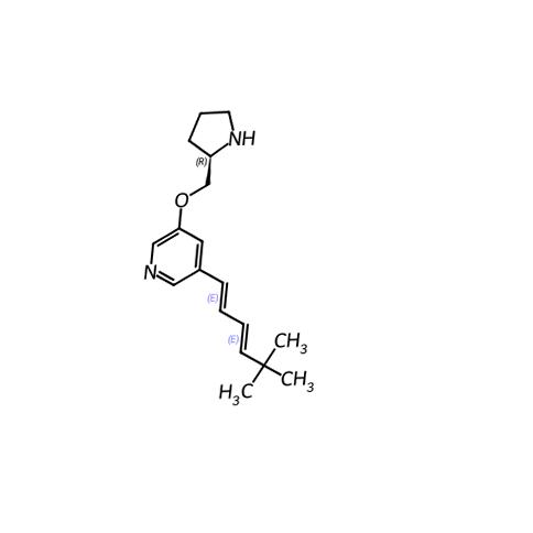 CC(C)(C)/C=C/C=C/c1cncc(OC[C@H]2CCCN2)c1